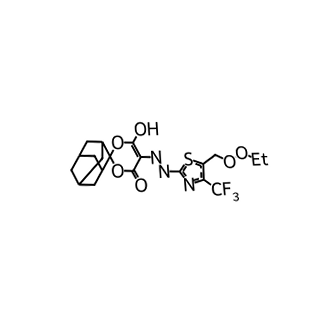 CCOOCc1sc(N=NC2=C(O)OC3(OC2=O)C2CC4CC(C2)CC3C4)nc1C(F)(F)F